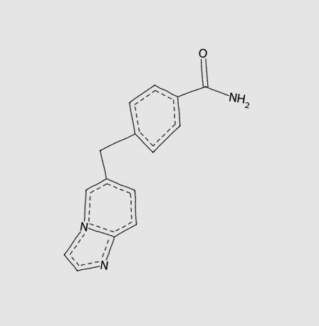 NC(=O)c1ccc(Cc2ccc3nccn3c2)cc1